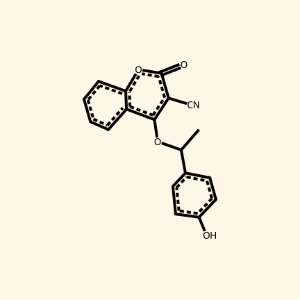 CC(Oc1c(C#N)c(=O)oc2ccccc12)c1ccc(O)cc1